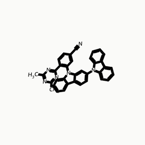 Cc1nc(C)nc(-c2ccc(C#N)cc2-n2c3ccccc3c3ccc(-n4c5ccccc5c5ccccc54)cc32)n1